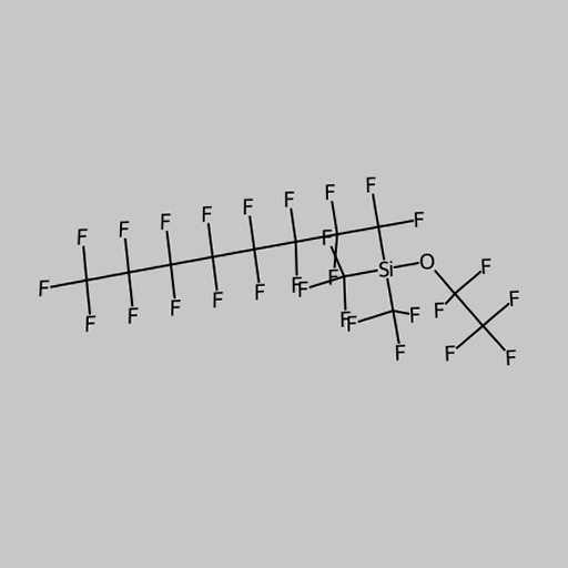 FC(F)(F)C(F)(F)O[Si](C(F)(F)F)(C(F)(F)F)C(F)(F)C(F)(F)C(F)(F)C(F)(F)C(F)(F)C(F)(F)C(F)(F)C(F)(F)F